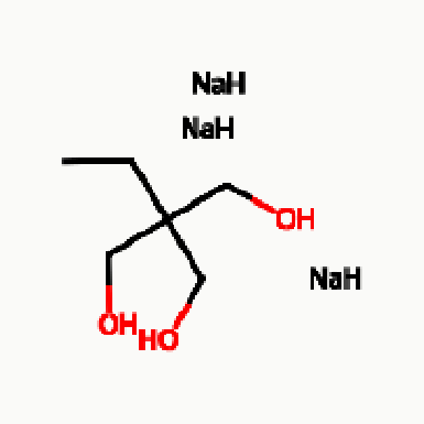 CCC(CO)(CO)CO.[NaH].[NaH].[NaH]